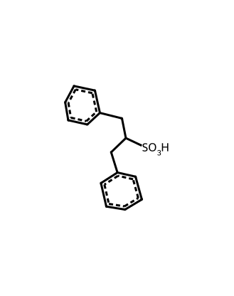 O=S(=O)(O)C(Cc1ccccc1)Cc1ccccc1